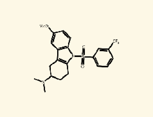 COc1ccc2c(c1)c1c(n2S(=O)(=O)c2cccc(C(F)(F)F)c2)CCC(N(C)C)C1